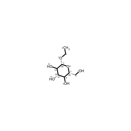 CCO[C@@H]1O[C@H](CO)C(O)[C@H](O)C1O